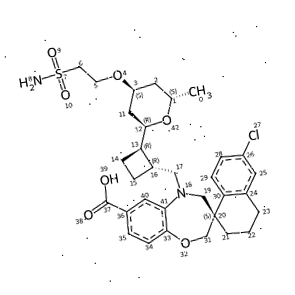 C[C@H]1C[C@H](OCCS(N)(=O)=O)C[C@H]([C@@H]2CC[C@H]2CN2C[C@@]3(CCCc4cc(Cl)ccc43)COc3ccc(C(=O)O)cc32)O1